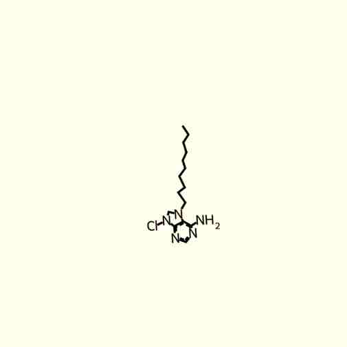 CCCCCCCCCCN1CN(Cl)c2ncnc(N)c21